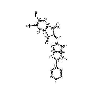 Cn1c(-c2ccccc2)nc2oc(C=C3C(=O)c4cc(F)c(F)cc4C3=O)nc21